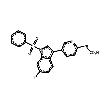 O=C(O)Nc1ccc(-c2cn(S(=O)(=O)c3ccccc3)c3cc(F)ccc23)cn1